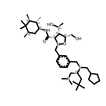 C[C@@H]1[C@@H](NC(=O)[C@@H]2[C@H]([C@H](C)O)[C@H](CO)ON2Cc2cccc(CN(CC3CCCC3)[C@H](CN(C)C)CC(C)(C)C)c2)C[C@@H](C)C(C)(C)[C@H]1C